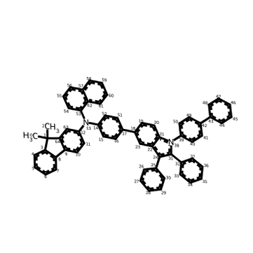 CC1(C)c2ccccc2-c2ccc(N(c3ccc(-c4ccc5c(c4)c(-c4ccccc4)c(-c4ccccc4)n5-c4ccc(-c5ccccc5)cc4)cc3)c3cccc4ccccc34)cc21